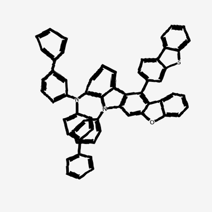 c1ccc(-c2ccc(N(c3cccc(-c4ccccc4)c3)c3cccc4c5c(-c6ccc7c(c6)sc6ccccc67)c6c(cc5n(-c5ccccc5)c34)oc3ccccc36)cc2)cc1